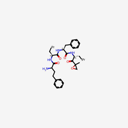 CC(C)C[C@H](NC(=O)C(N)CCc1ccccc1)C(=O)N[C@@H](Cc1ccccc1)C(=O)N[C@H](CC(C)C)C(=O)C1(C)CO1